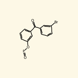 O=POc1cccc(C(=O)c2cccc(Br)c2)c1